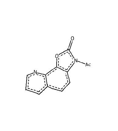 CC(=O)n1c(=O)oc2c3ncccc3ccc21